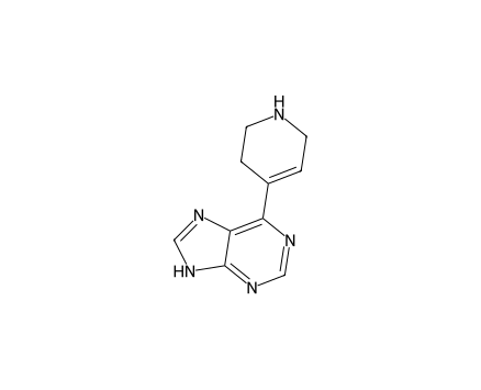 C1=C(c2ncnc3[nH]cnc23)CCNC1